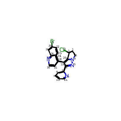 ClC1CCn2nc(-c3ccccn3)c(-c3ccnc4cc(Br)ccc34)c21